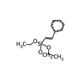 CCO[Si](C=Cc1ccccc1)(OC)OCC